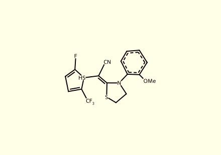 COc1ccccc1N1CCSC1=C(C#N)[SH]1C(F)=CC=C1C(F)(F)F